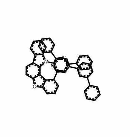 c1ccc(-c2cccc(-c3ccc(-n4c5ccccc5c5ccc6oc7cccc(-c8nc(-c9ccccc9)nc(-c9ccccc9)n8)c7c6c54)cc3)c2)cc1